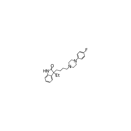 CCC1(CCCCN2CCN(c3ccc(F)cc3)CC2)C(=O)Nc2ccccc21